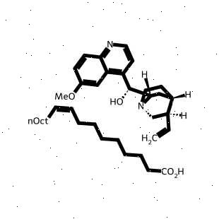 C=C[C@H]1C[N@]2CC[C@H]1C[C@H]2[C@H](O)c1ccnc2ccc(OC)cc12.CCCCCCCC/C=C\CCCCCCCC(=O)O